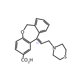 O=C(O)c1ccc2c(c1)/C(=C/CN1CCSCC1)c1ccccc1CO2